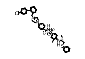 CC[C@@H](CSc1ccccc1)Nc1ccc(S(=O)(=O)NC(=O)c2ccc(N3CCN(Cc4ccccc4-c4ccc(Cl)cc4)CC3)cc2)cc1C